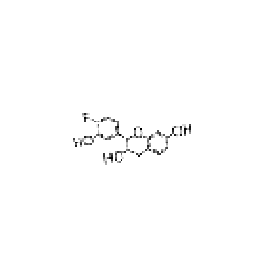 Oc1ccc2c(c1)O[C@H](c1ccc(F)c(O)c1)[C@H](O)C2